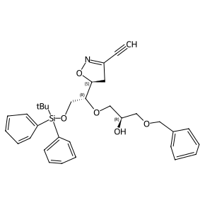 C#CC1=NO[C@H]([C@@H](CO[Si](c2ccccc2)(c2ccccc2)C(C)(C)C)OC[C@H](O)COCc2ccccc2)C1